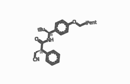 CCCC(C)COc1ccc([C@@H](NC(=O)[C@@H](CC#N)c2ccccc2)C(C)(C)C)cc1